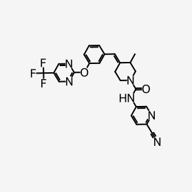 CC1CN(C(=O)Nc2ccc(C#N)nc2)CCC1=Cc1cccc(Oc2ncc(C(F)(F)F)cn2)c1